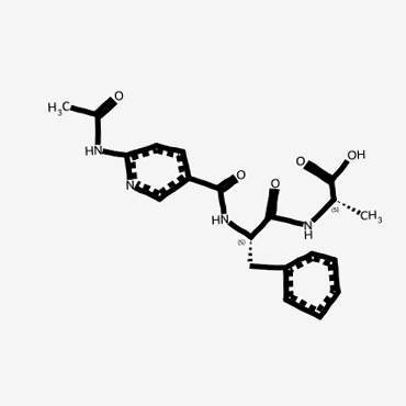 CC(=O)Nc1ccc(C(=O)N[C@@H](Cc2ccccc2)C(=O)N[C@@H](C)C(=O)O)cn1